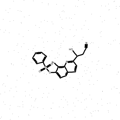 N#CCC(O)c1ccc2ccc(OS(=O)(=O)c3ccccc3)c(Br)c2n1